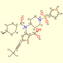 CC(C)(C)C#Cc1cc(N(C(=O)[C@H]2CC[C@H](C)CC2)C2CCN(S(=O)(=O)c3ccsc3)CC2)c(C(=O)O)s1